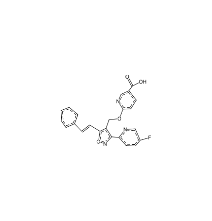 O=C(O)c1ccc(OCc2c(-c3ccc(F)cn3)noc2C=Cc2ccccc2)nc1